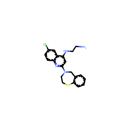 NCCNc1cc(N2CCSc3ccccc3C2)nc2ccc(Cl)cc12